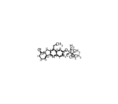 CCc1c2c(nc3ccc(O[Si](C)(C)C(C)(C)C)cc13)C1=CCCC(=O)N1C2